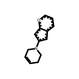 C1=CCN(c2cc3cccoc-3c2)CC1